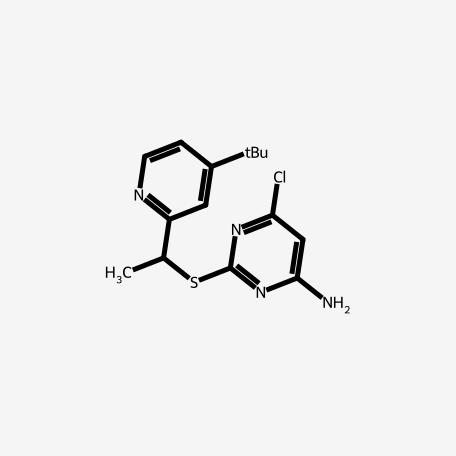 CC(Sc1nc(N)cc(Cl)n1)c1cc(C(C)(C)C)ccn1